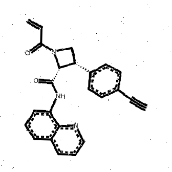 C#Cc1ccc([C@H]2CN(C(=O)C=C)[C@H]2C(=O)Nc2cccc3cccnc23)cc1